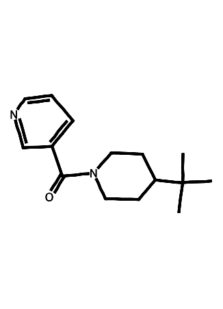 CC(C)(C)C1CCN(C(=O)c2cccnc2)CC1